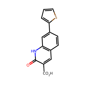 O=C(O)c1cc2ccc(-c3cccs3)cc2[nH]c1=O